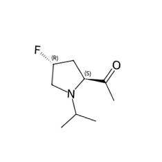 CC(=O)[C@@H]1C[C@@H](F)CN1C(C)C